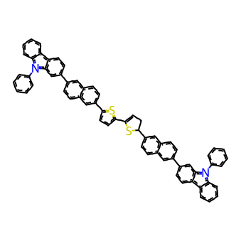 C1=C(c2ccc(-c3ccc4cc(-c5ccc6c7ccccc7n(-c7ccccc7)c6c5)ccc4c3)s2)SC(c2ccc3cc(-c4ccc5c6ccccc6n(-c6ccccc6)c5c4)ccc3c2)C1